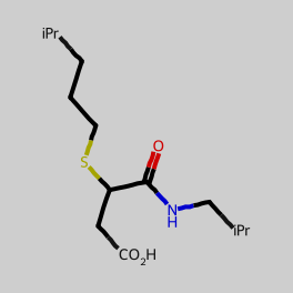 CC(C)CCCSC(CC(=O)O)C(=O)NCC(C)C